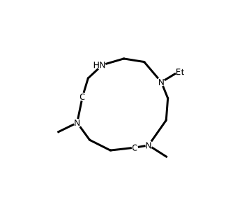 CCN1CCNCCN(C)CCCN(C)CC1